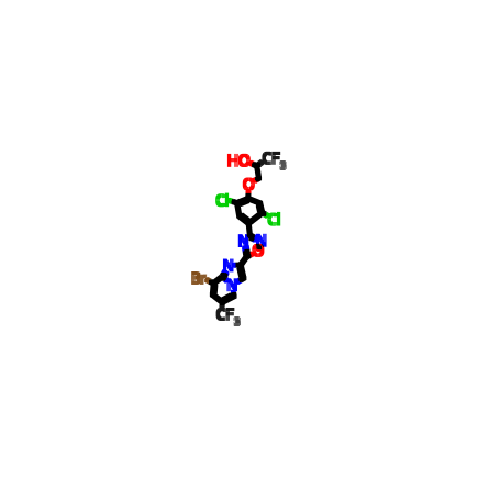 OC(COc1cc(Cl)c(-c2noc(-c3cn4cc(C(F)(F)F)cc(Br)c4n3)n2)cc1Cl)C(F)(F)F